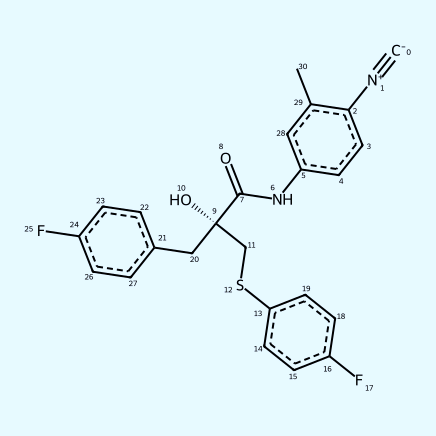 [C-]#[N+]c1ccc(NC(=O)[C@@](O)(CSc2ccc(F)cc2)Cc2ccc(F)cc2)cc1C